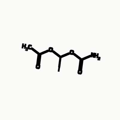 CC(=O)OC(I)OC(N)=O